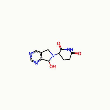 O=C1CCC(N2Cc3cncnc3C2O)C(=O)N1